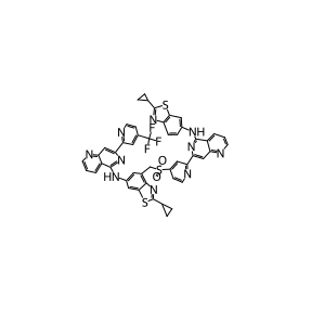 O=S(=O)(Cc1cc(Nc2nc(-c3cc(C(F)(F)F)ccn3)cc3ncccc23)cc2sc(C3CC3)nc12)c1ccnc(-c2cc3ncccc3c(Nc3ccc4nc(C5CC5)sc4c3)n2)c1